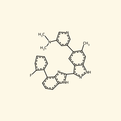 Cc1cc2[nH]nc(-c3nc4c(-c5ccccc5F)cccc4[nH]3)c2cc1-c1cncc(N(C)C)c1